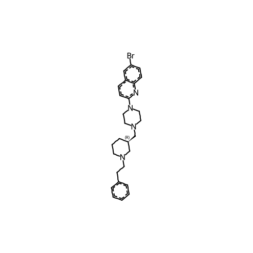 Brc1ccc2nc(N3CCN(C[C@@H]4CCCN(CCc5ccccc5)C4)CC3)ccc2c1